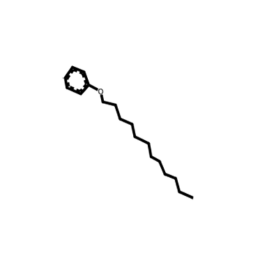 CCCCCCCCCCCCOc1cc[c]cc1